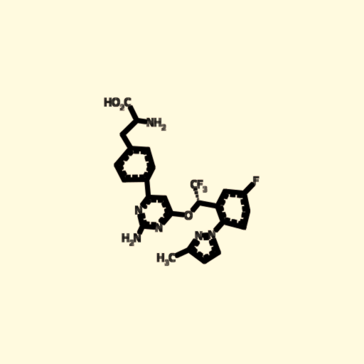 Cc1ccn(-c2ccc(F)cc2[C@H](Oc2cc(-c3ccc(CC(N)C(=O)O)cc3)nc(N)n2)C(F)(F)F)n1